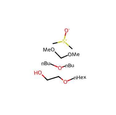 CCCCCCOCCO.CCCCOCCCC.COCOC.C[S+](C)[O-]